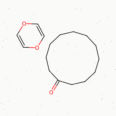 C1=COC=CO1.O=C1CCCCCCCCCCC1